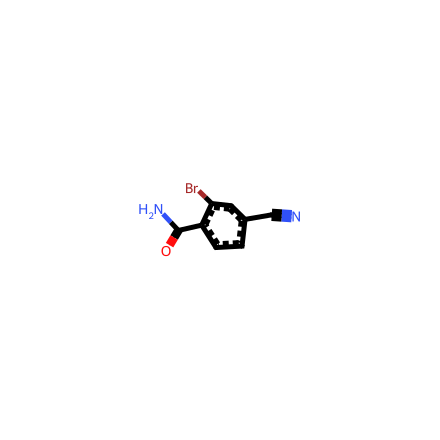 N#Cc1ccc(C(N)=O)c(Br)c1